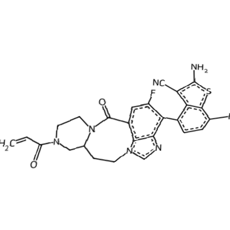 C=CC(=O)N1CCN2C(=O)c3cc(F)c(-c4ccc(F)c5sc(N)c(C#N)c45)c4ncn(c34)CCC2C1